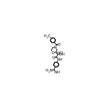 Cc1ccc(C(=O)N2CCOC(C(O)C(=O)Nc3ccc(C(=N)N)cc3)C2)cc1.Cl